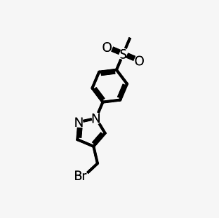 CS(=O)(=O)c1ccc(-n2cc(CBr)cn2)cc1